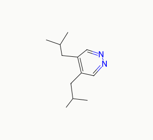 CC(C)Cc1cnncc1CC(C)C